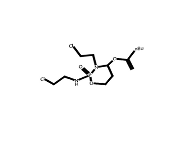 C=C(CCCC)OC1CCOP(=O)(NCCCl)N1CCCl